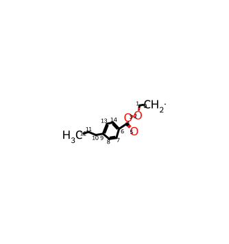 [CH2]COOC(=O)c1ccc(CCC)cc1